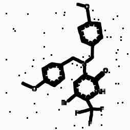 COc1ccc(CN(Cc2ccc(OC)cc2)c2cc(Br)c(C(F)(F)F)[nH]c2=O)cc1